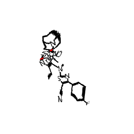 CCc1nc2sc(N3C4CCC3CC(N(C)S(C)(=O)=O)C4)nn2c1N(C)c1nc(-c2ccc(F)cc2)c(C#N)s1